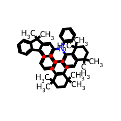 CC1(C)CCC(C)(C)c2cc(-c3cc4c(cc3N(c3ccccc3)c3c(-c5ccccc5)ccc5c3C(C)(C)CCC5(C)C)C(C)(C)c3ccccc3-4)ccc21